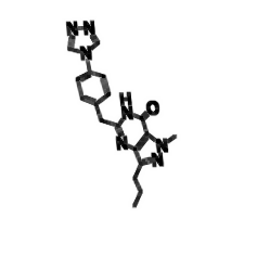 CCCc1nn(C)c2c(=O)[nH]c(Cc3ccc(-n4cnnc4)cc3)nc12